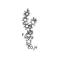 O=C(NC1CC2CC(C1)CC(C(=O)O)C2)c1cnc(-c2cn(C3CCC(F)(F)CC3)c3cc(OC4CCN(c5ccc(F)cn5)CC4)ccc23)nc1C(F)(F)F